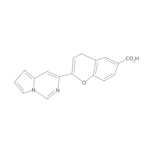 O=C(O)c1ccc2c(c1)CC=C(c1cc3cccn3cn1)O2